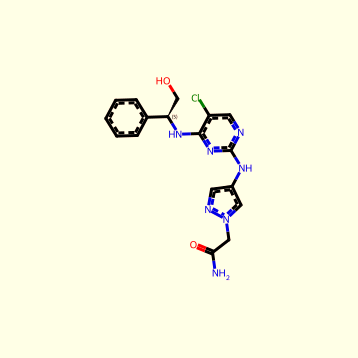 NC(=O)Cn1cc(Nc2ncc(Cl)c(N[C@H](CO)c3ccccc3)n2)cn1